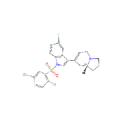 O=S(=O)(c1cc(Cl)ccc1Cl)n1cc(C2=CCN3CCC[C@@H]3C2)c2cc(F)ccc21